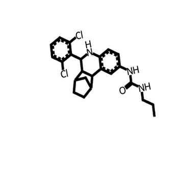 CCCNC(=O)Nc1ccc2c(c1)C1C3CCC(C3)C1C(c1c(Cl)cccc1Cl)N2